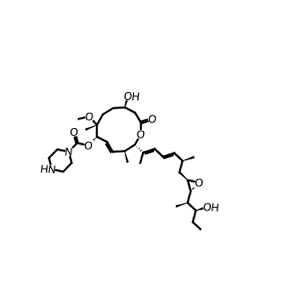 CC[C@H](O)[C@@H](C)[C@H]1O[C@@H]1C[C@H](C)/C=C/C=C(\C)[C@H]1OC(=O)C[C@H](O)CC[C@@](C)(OC)[C@@H](OC(=O)N2CCNCC2)/C=C/[C@@H]1C